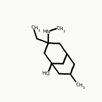 CCC1(NC)CC2CC(C)CC(O)(C2)C1